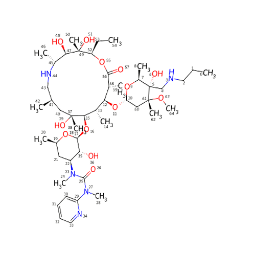 CCCNC[C@]1(O)[C@H](C)O[C@@H](O[C@H]2[C@H](C)[C@@H](O[C@@H]3O[C@H](C)C[C@H](N(C)C(=O)N(C)c4ccccn4)[C@H]3O)[C@](C)(O)C[C@@H](C)CN[C@H](C)[C@@H](O)[C@](C)(O)[C@@H](CC)OC(=O)[C@@H]2C)C[C@@]1(C)OC